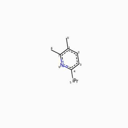 Cc1ccc(C(C)C)nc1C